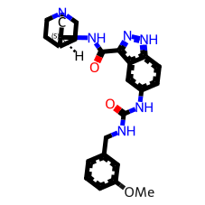 COc1cccc(CNC(=O)Nc2ccc3[nH]nc(C(=O)N[C@@H]4CN5CCC4CC5)c3c2)c1